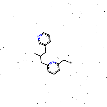 CC(C)Cc1cccc(CC(C)Cc2cccnc2)n1